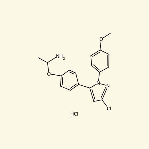 COc1ccc(-n2nc(Cl)cc2-c2ccc(OC(C)N)cc2)cc1.Cl